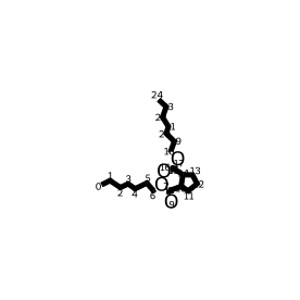 CCCCCCCOC(=O)C1CCCC1C(=O)OCCCCCCC